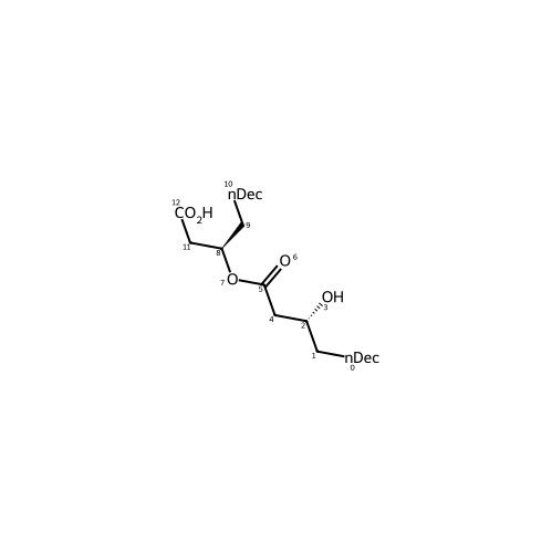 CCCCCCCCCCC[C@@H](O)CC(=O)O[C@H](CCCCCCCCCCC)CC(=O)O